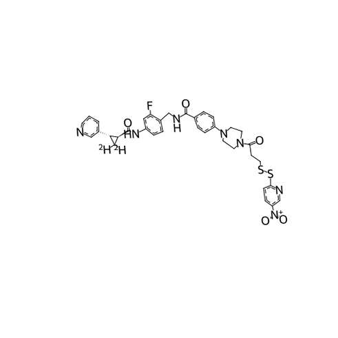 [2H]C1([2H])[C@H](C(=O)Nc2ccc(CNC(=O)c3ccc(N4CCN(C(=O)CCSSc5ccc([N+](=O)[O-])cn5)CC4)cc3)c(F)c2)[C@H]1c1cccnc1